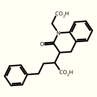 O=C(O)CN1C(=O)C(C(CCc2ccccc2)C(=O)O)Cc2ccccc21